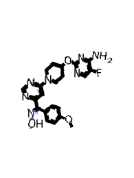 COc1ccc(/C(=N\O)c2cc(N3CCC(Oc4ncc(F)c(N)n4)CC3)ncn2)cc1